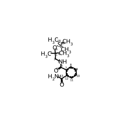 CC(C)(CNC(=O)c1ccccc1C(N)=O)O[Si](C)(C)C